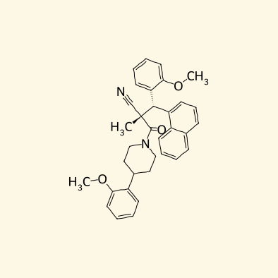 COc1ccccc1C1CCN(C(=O)[C@](C)(C#N)[C@H](c2ccccc2OC)c2cccc3ccccc23)CC1